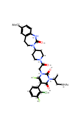 COc1ccc2c(c1)CCN(C1CCN(C(=O)Cn3c(F)c(-c4cccc(F)c4Cl)c(=O)n(C(C)CNC(C)=O)c3=O)CC1)C(=O)N2